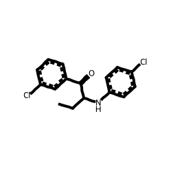 CCC(Nc1ccc(Cl)cc1)C(=O)c1cccc(Cl)c1